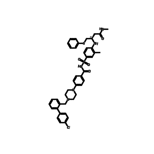 CNC(=O)C[C@H](CSc1ccccc1)Nc1ccc(S(=O)(=O)NC(=O)c2ccc(N3CCN(Cc4ccccc4-c4ccc(Cl)cc4)CC3)cc2)cc1C